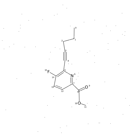 CCCC#Cc1nc(C(=O)OC)ccc1F